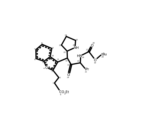 CCOC(=O)CCc1oc2ccccc2c1C(C(=O)C(NC(=O)OC(C)(C)C)C(C)C)C1CCCN1